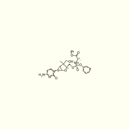 CC(C)OC(=O)[C@H](C)NP(=O)(OC[C@H]1OC2C([C@@H]2n2ccc(N)nc2=O)C1(C)CO)Oc1ccccc1